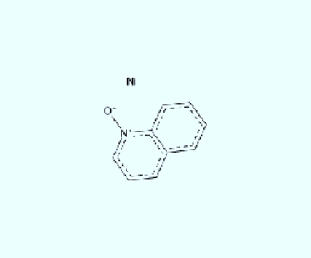 [Ni].[O-][n+]1cccc2ccccc21